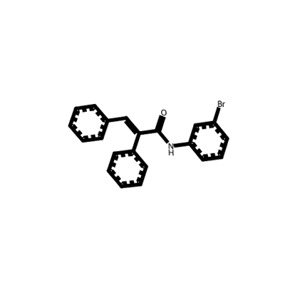 O=C(Nc1cccc(Br)c1)C(=Cc1ccccc1)c1ccccc1